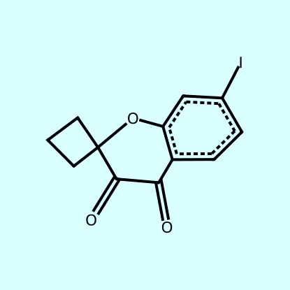 O=C1C(=O)C2(CCC2)Oc2cc(I)ccc21